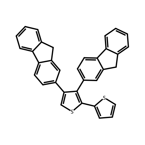 c1csc(-c2scc(-c3ccc4c(c3)Cc3ccccc3-4)c2-c2ccc3c(c2)Cc2ccccc2-3)c1